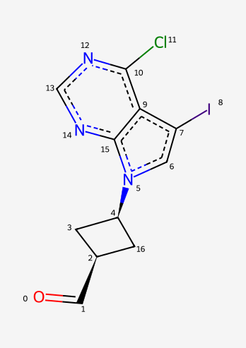 O=C[C@H]1C[C@@H](n2cc(I)c3c(Cl)ncnc32)C1